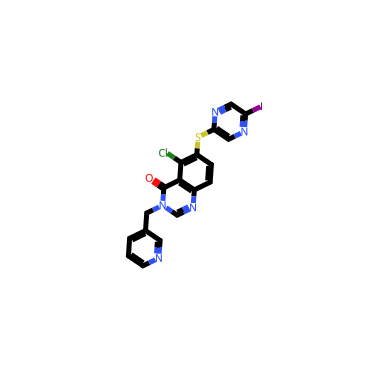 O=c1c2c(Cl)c(Sc3cnc(I)cn3)ccc2ncn1Cc1cccnc1